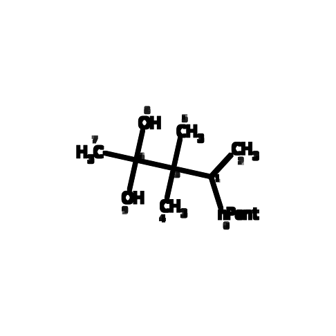 CCCCCC(C)C(C)(C)C(C)(O)O